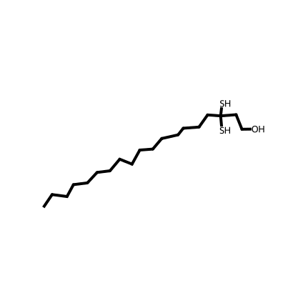 CCCCCCCCCCCCCCCCC(S)(S)CCO